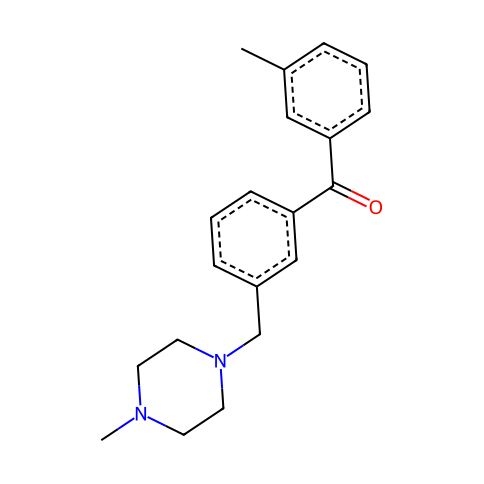 Cc1cccc(C(=O)c2cccc(CN3CCN(C)CC3)c2)c1